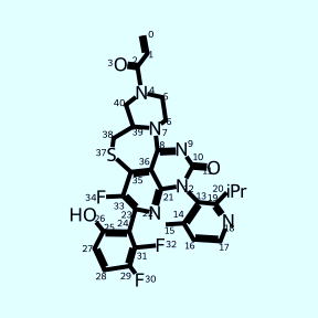 C=CC(=O)N1CCN2c3nc(=O)n(-c4c(C)ccnc4C(C)C)c4nc(-c5c(O)ccc(F)c5F)c(F)c(c34)SCC2C1